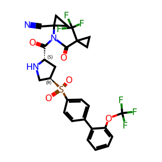 N#CC1(N(C(=O)[C@@H]2C[C@@H](S(=O)(=O)c3ccc(-c4ccccc4OC(F)(F)F)cc3)CN2)C(=O)C2(C(F)(F)F)CC2)CC1